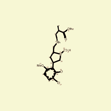 COC(=O)C(C)CNCC1CC(c2c(OC)ccc(Cl)c2Cl)CN1C(=O)O